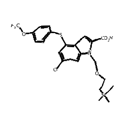 C[Si](C)(C)CCOCn1c(C(=O)O)cc2c(Sc3ccc(OC(F)(F)F)cc3)cc(Cl)cc21